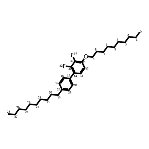 CCCCCCCCCCOc1ccc(-c2ccc(CCCCCCCCCC)cc2)c(F)c1F